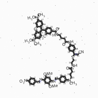 COc1cc(/N=N/c2ccc([N+](=O)[O-])cc2)c(OC)cc1/N=N/c1ccc(N(C)CCCC(=O)NCCS/C(=C/C#N)c2ccc(NC(=O)CCCNC(=O)c3ccc(-c4c5ccc(=[N+](C)C)cc-5oc5cc(N(C)C)ccc45)c(C(=O)O)c3)cc2)cc1